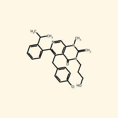 C=C1N(CCCO)C(=O)c2c(cnc(-c3ccccc3C(C)C)c2Cc2ccc(Cl)cc2)N1C